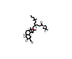 CCCC(C)(C)CC[C@](C)(CCC(=O)N1CCC(F)(F)C1)CCC(C)(C)[C@]1(C)CC[C@H]2[C@H](C)C(=O)C(C#N)=C[C@]2(C)/C1=C/C(C)=O